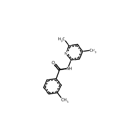 Cc1cccc(C(=O)Nc2cc(C)cc(C)n2)c1